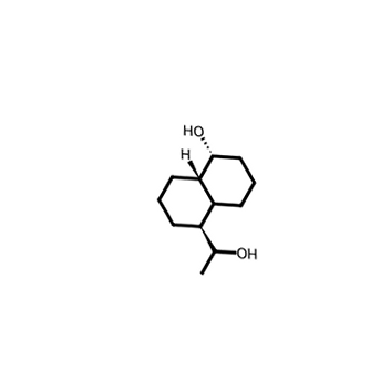 CC(O)[C@H]1CCC[C@H]2C1CCC[C@H]2O